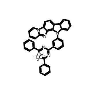 C=C(/N=C(\N=C(/C)c1ccccc1)c1cccc(-n2c3ccccc3c3ccc4c(nc5ccccn54)c32)c1)c1ccccc1